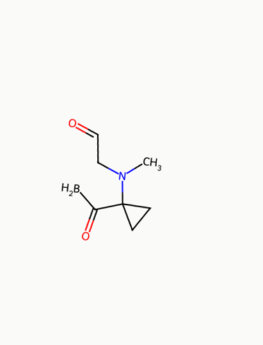 BC(=O)C1(N(C)CC=O)CC1